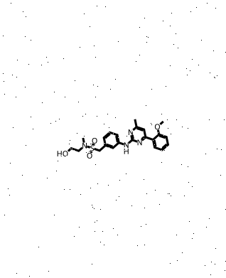 COc1ccccc1-c1cc(C)nc(Nc2cccc(CS(=O)(=O)N(C)CCO)c2)n1